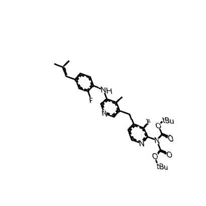 CC(C)=Cc1ccc(Nc2cncc(Cc3ccnc(N(C(=O)OC(C)(C)C)C(=O)OC(C)(C)C)c3F)c2C)c(F)c1